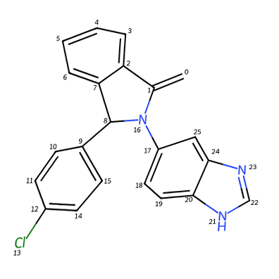 C=C1c2ccccc2C(c2ccc(Cl)cc2)N1c1ccc2[nH]cnc2c1